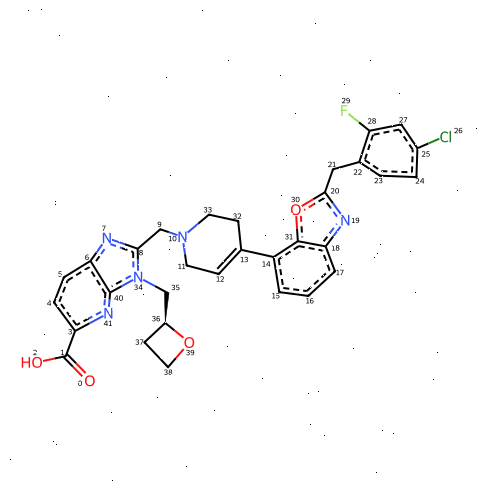 O=C(O)c1ccc2nc(CN3CC=C(c4cccc5nc(Cc6ccc(Cl)cc6F)oc45)CC3)n(C[C@@H]3CCO3)c2n1